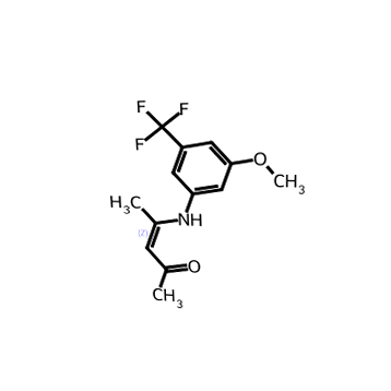 COc1cc(N/C(C)=C\C(C)=O)cc(C(F)(F)F)c1